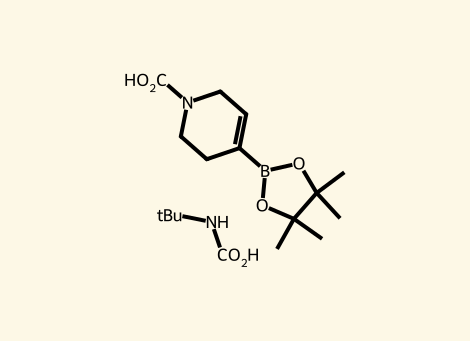 CC(C)(C)NC(=O)O.CC1(C)OB(C2=CCN(C(=O)O)CC2)OC1(C)C